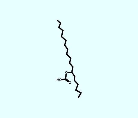 CCCCCCCCCCCCC(CCCCCC)OC(=O)O